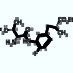 CCOC(=O)[C@H](C)Cc1ccc(F)c(NC(=O)[C@H](N)[C@@H](C)C(F)(F)F)c1